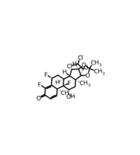 CC1(C)O[C@@H]2C[C@H]3[C@@H]4C[C@H](F)C5=C(F)C(=O)C=C[C@]5(C)[C@@]4(F)[C@@H](O)C[C@]3(C)[C@]2(C(=O)C(Cl)Cl)O1